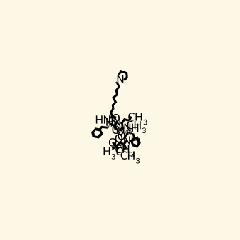 CC(C)CC(NC(=O)[C@H](CCc1ccccc1)NC(=O)CCCCCCCCCN1CCCCC1)C(=O)N[C@@H](Cc1ccccc1)C(=O)NC(CC(C)C)C(=O)C1(C)CO1